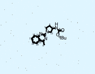 Cc1nc(N2CCC(NC(=O)OC(C)(C)C)C2)nc2ccccc12